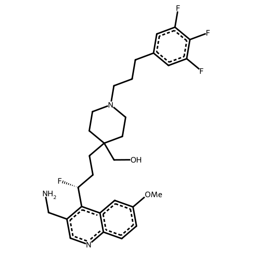 COc1ccc2ncc(CN)c([C@H](F)CCC3(CO)CCN(CCCc4cc(F)c(F)c(F)c4)CC3)c2c1